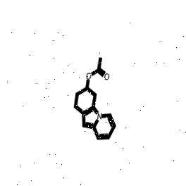 CC(=O)OC1CCc2cc3ccccn3c2C1